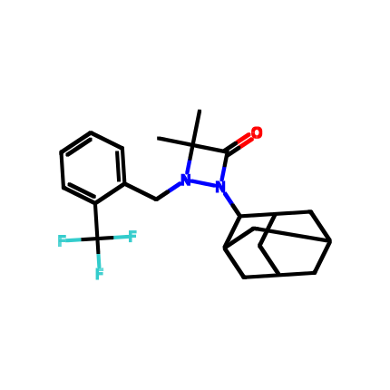 CC1(C)C(=O)N(C2C3CC4CC(C3)CC2C4)N1Cc1ccccc1C(F)(F)F